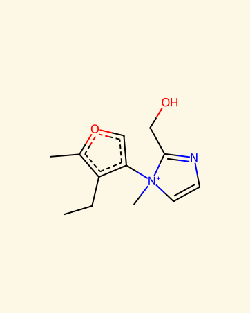 CCc1c([N+]2(C)C=CN=C2CO)coc1C